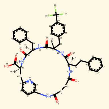 O=C1CCC(=O)N[C@H](CCc2ccccc2)C(=O)N[C@@H](Cc2ccc(C(F)(F)F)cc2)C(=O)N[C@H](Cc2ccccc2)C(=O)N[C@H](C(=O)O)Cc2ccc(cn2)N1